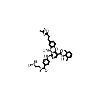 CCN(CC)CCN(C)C(=O)c1ccc(Nc2ncc(C(=O)Nc3c(C)cccc3C)c(Oc3ccc(CCc4nc(C)no4)cc3OC)n2)cc1